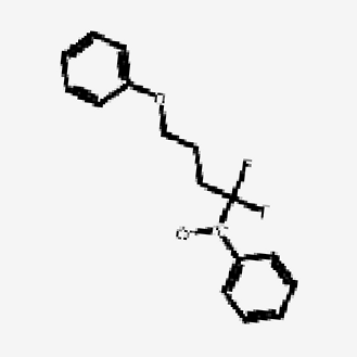 [O-][S+](c1ccccc1)C(F)(F)CCCOc1ccccc1